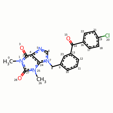 Cn1c(=O)c2ncn(Cc3cccc(C(=O)c4ccc(Cl)cc4)c3)c2n(C)c1=O